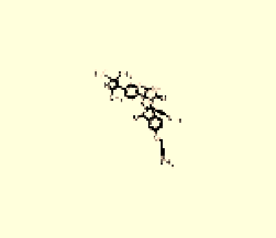 CC#CCOc1ccc2c(c1)C(=O)N(C[C@]1(c3ccc(-c4c(C)nn(C)c4C)cc3)C(=O)NC(=O)N1CC#CC)C2